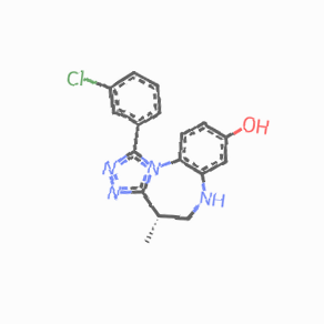 C[C@H]1CNc2cc(O)ccc2-n2c(-c3cccc(Cl)c3)nnc21